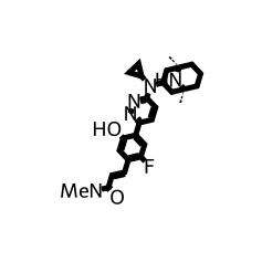 CNC(=O)/C=C/c1cc(O)c(-c2ccc(N(C3CC3)C3C[C@]4(C)CCC[C@](C)(C3)N4)nn2)cc1F